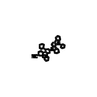 N#Cc1ccc(-c2c(-c3ccccc3)cc(-n3c4ccccc4c4c3ccc3c5ccccc5n(-c5ccccc5)c34)cc2-c2ccccc2)c(C#N)c1